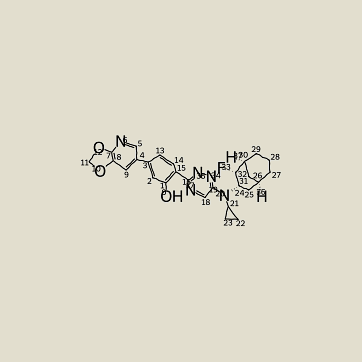 Oc1cc(-c2cnc3c(c2)OCO3)ccc1-c1ncc(N(C2CC2)[C@H]2C[C@@H]3CCC[C@@H](C3)[C@H]2F)nn1